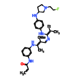 C=CC(=O)Nc1cccc(N/C(C)=C(/C=N\C(Nc2ccc(NC3CCN(CCF)C3)cc2)=C(/C)CC)OC)c1